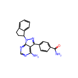 NC(=O)c1ccc(-c2nn(C3CCc4ccccc43)c3ncnc(N)c23)cc1